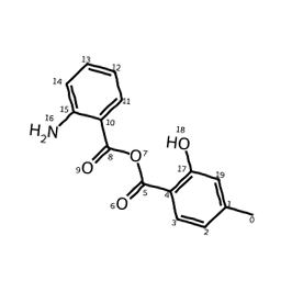 Cc1ccc(C(=O)OC(=O)c2ccccc2N)c(O)c1